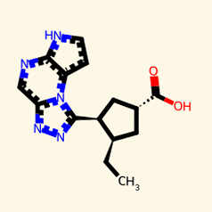 CC[C@@H]1C[C@@H](C(=O)O)C[C@@H]1c1nnc2cnc3[nH]ccc3n12